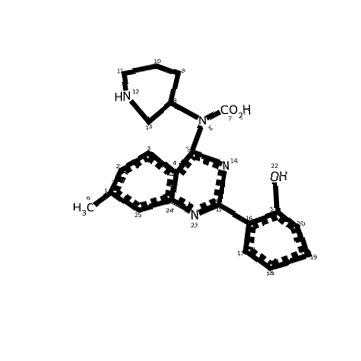 Cc1ccc2c(N(C(=O)O)C3CCCNC3)nc(-c3ccccc3O)nc2c1